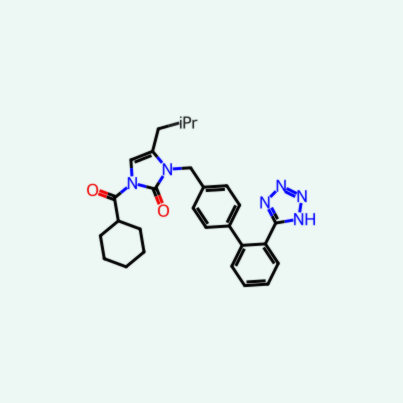 CC(C)Cc1cn(C(=O)C2CCCCC2)c(=O)n1Cc1ccc(-c2ccccc2-c2nnn[nH]2)cc1